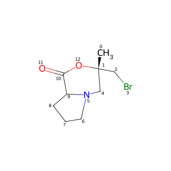 C[C@@]1(CBr)CN2CCCC2C(=O)O1